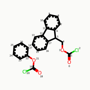 O=C(Cl)OCC1c2ccccc2-c2ccccc21.O=C(Cl)Oc1ccccc1